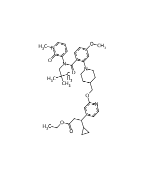 CCOC(=O)CC(c1ccnc(OCC2CCN(c3cc(OC)ccc3C(=O)N(CC(C)(C)C)c3cccn(C)c3=O)CC2)c1)C1CC1